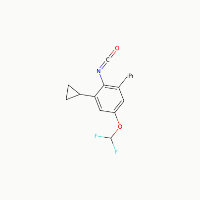 CC(C)c1cc(OC(F)F)cc(C2CC2)c1N=C=O